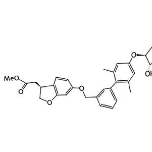 COC(=O)C[C@@H]1COc2cc(OCc3cccc(-c4c(C)cc(O[C@H]5CCC[C@@H]5O)cc4C)c3)ccc21